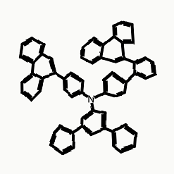 c1ccc(-c2cc(-c3ccccc3)cc(N(c3ccc(-c4ccccc4-c4cc5ccccc5c5ccccc45)cc3)c3ccc(-c4cc5ccccc5c5ccccc45)cc3)c2)cc1